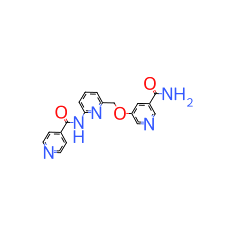 NC(=O)c1cncc(OCc2cccc(NC(=O)c3ccncc3)n2)c1